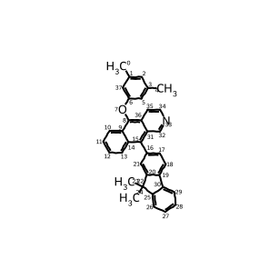 Cc1cc(C)cc(Oc2c3ccccc3c(-c3ccc4c(c3)C(C)(C)c3ccccc3-4)c3cnccc23)c1